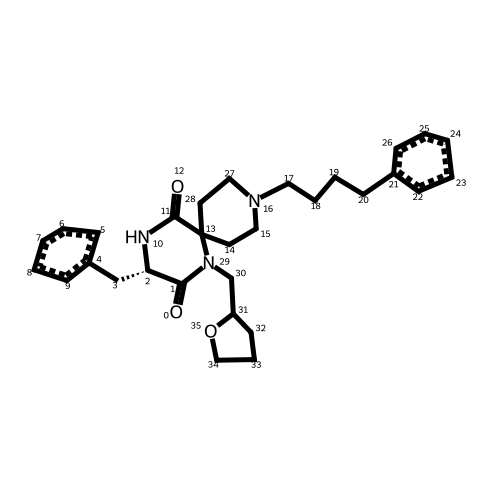 O=C1[C@H](Cc2ccccc2)NC(=O)C2(CCN(CCCCc3ccccc3)CC2)N1CC1CCCO1